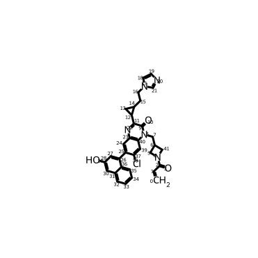 C=CC(=O)N1CC(Cn2c(=O)c(C3CC3CCn3ccnc3)nc3cc(-c4cc(O)cc5ccccc45)c(Cl)cc32)C1